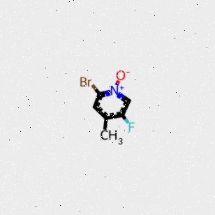 Cc1cc(Br)[n+]([O-])cc1F